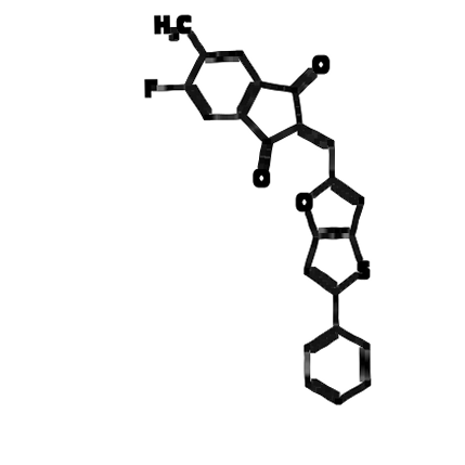 Cc1cc2c(cc1F)C(=O)/C(=C\c1cc3sc(-c4ccccc4)cc3o1)C2=O